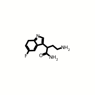 NCCC(C(N)=O)C1=CN=C2CC=C(F)C=C12